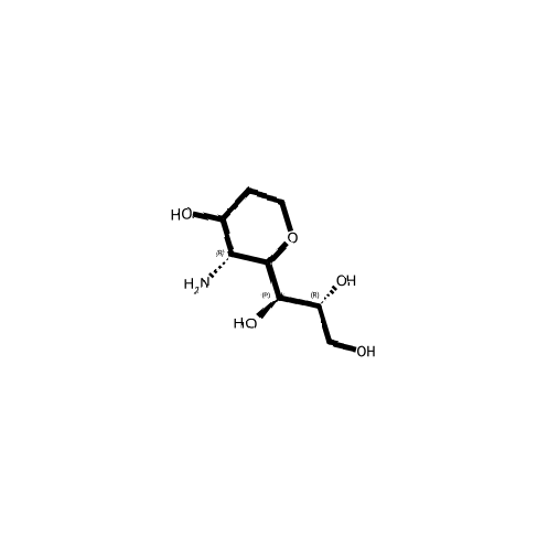 N[C@@H]1C(O)CCOC1[C@H](O)[C@H](O)CO